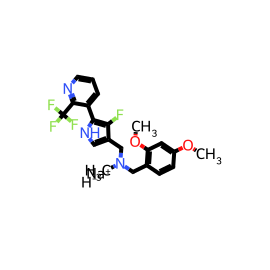 COc1ccc(CN(C)Cc2c[nH]c(-c3cccnc3C(F)(F)F)c2F)c(OC)c1.[H-].[Na+]